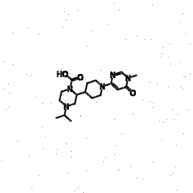 CC(C)N1CCN(C(=O)O)C(C2CCN(c3cc(=O)n(C)cn3)CC2)C1